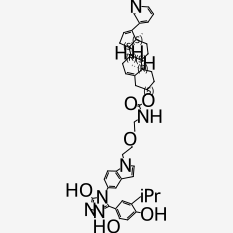 CC(C)c1cc(-c2nnc(O)n2-c2ccc3c(ccn3CCOCCNC(=O)O[C@H]3CC[C@@]4(C)C(=CC[C@@H]5[C@@H]4CC[C@]4(C)C(c6cccnc6)=CC[C@@H]54)C3)c2)c(O)cc1O